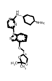 CC(=O)N[C@H]1CC[C@H](Nc2nccc(-n3ncc4c(OC[C@@H]5COC(C)(C)O5)cccc43)n2)CC1